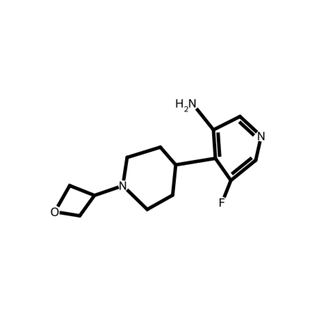 Nc1cncc(F)c1C1CCN(C2COC2)CC1